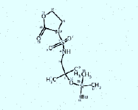 CC(C)(CNS(=O)(=O)N1CCOC1=O)O[Si](C)(C)C(C)(C)C